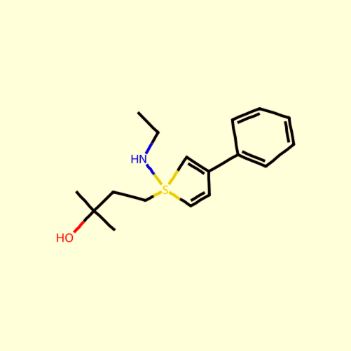 CCNS1(CCC(C)(C)O)C=CC(c2ccccc2)=C1